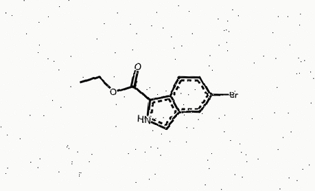 CCOC(=O)c1[nH]cc2cc(Br)ccc12